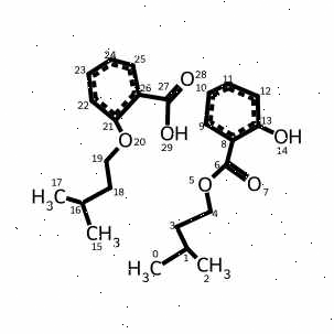 CC(C)CCOC(=O)c1ccccc1O.CC(C)CCOc1ccccc1C(=O)O